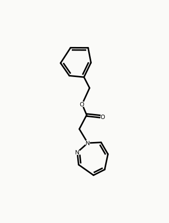 O=C(CN1C=CC=CC=N1)OCc1ccccc1